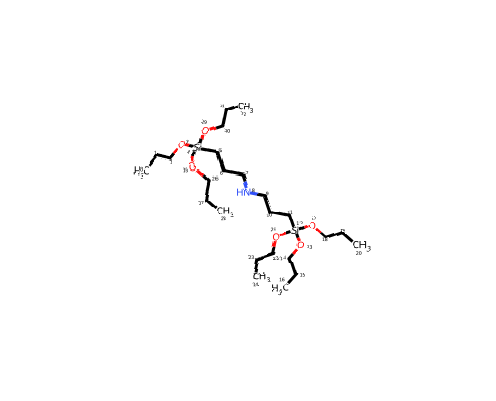 CCCO[Si](CCCNCCC[Si](OCCC)(OCCC)OCCC)(OCCC)OCCC